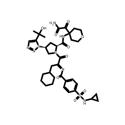 CC(C)(O)c1cnnn1[C@H]1C[C@@H](C(=O)NC2(C(=O)C(N)=O)CCOCC2)N(C(=O)/C(CC2CCCCC2)=N/C(=O)c2ccc(S(=O)(=O)NC3CC3)cc2)C1